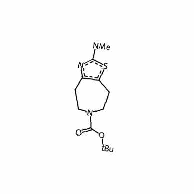 CNc1nc2c(s1)CCN(C(=O)OC(C)(C)C)CC2